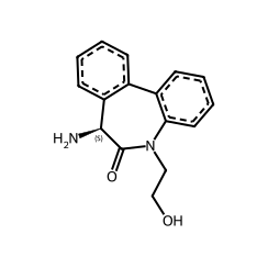 N[C@@H]1C(=O)N(CCO)c2ccccc2-c2ccccc21